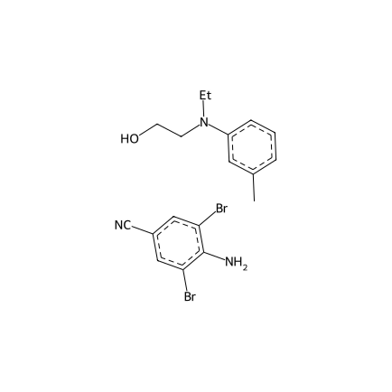 CCN(CCO)c1cccc(C)c1.N#Cc1cc(Br)c(N)c(Br)c1